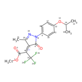 COC(=O)/C(=C1/C(=O)N(c2ccc(OC(C)C)cc2)N=C1C)C(F)(F)F